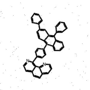 c1ccc(-c2ccc3c(-c4ccc(-c5nccc6ccc7cccnc7c56)cc4)c4ccccc4c(-c4ccccc4)c3c2)cc1